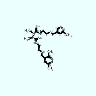 Cc1cc(CSCCNC(=S)N(C)N(C)C(=S)NCCSCc2cc(C)nnc2C)cnn1